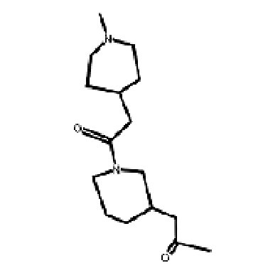 CC(=O)CC1CCCN(C(=O)CC2CCN(C)CC2)C1